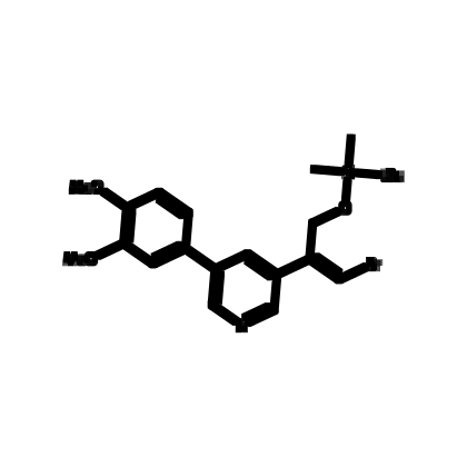 COc1ccc(-c2cncc(C(=CBr)CO[Si](C)(C)C(C)(C)C)c2)cc1OC